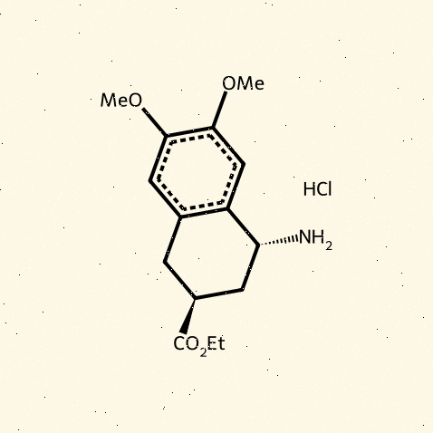 CCOC(=O)[C@H]1Cc2cc(OC)c(OC)cc2[C@H](N)C1.Cl